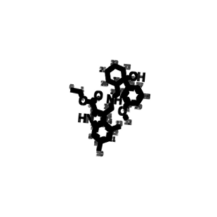 CCOC(=O)c1[nH]c2cc(C)cc(C)c2c1CNCC1CCCCC1(O)c1cccc(OC)c1